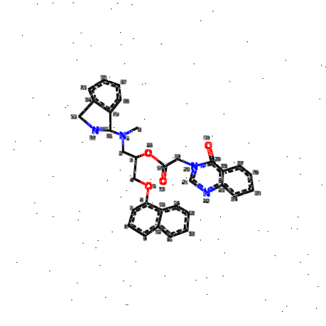 CN(CC(COc1cccc2ccccc12)OC(=O)Cn1cnc2ccccc2c1=O)C1=NCc2ccccc21